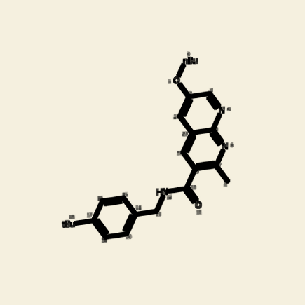 CCCCOc1cnc2nc(C)c(C(=O)NCc3ccc(C(C)(C)C)cc3)cc2c1